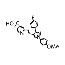 COc1ccc(-n2cc(/C=C/c3cc(C(=O)O)ccn3)c(-c3ccc(F)cc3)n2)cc1